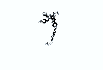 CCCCc1nc2c(N)nc3cc(C4CCN(CCOCCOCCOC)CC4)sc3c2n1CC1CCNCC1